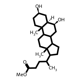 COC(=O)CCC(C)C1CCC2C3C[C@H](O)[C@@H]4C[C@H](O)CCC4(C)C3CCC12C